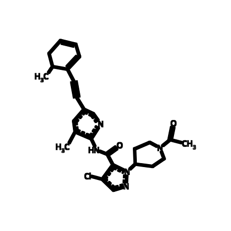 CC(=O)N1CCC(n2ncc(Cl)c2C(=O)Nc2ncc(C#CC3=CC=CCC3C)cc2C)CC1